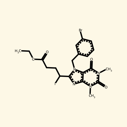 CCOC(=O)CCC(I)c1nc2c(c(=O)n(C)c(=O)n2C)n1Cc1cccc(Br)c1